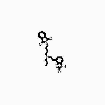 CCCN(CCCCN1C(=O)c2ccccc2C1=O)CCc1cccc2[nH]c(=O)sc12